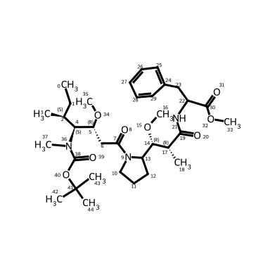 CC[C@H](C)[C@@H]([C@@H](CC(=O)N1CCCC1[C@H](OC)[C@@H](C)C(=O)NC(Cc1ccccc1)C(=O)OC)OC)N(C)C(=O)OC(C)(C)C